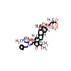 CC(C)C1=C2[C@H]3CC[C@@H]4[C@@]5(C)CC[C@@H](OC(=O)CC(C)(C)C(=O)O)C(C)(C)[C@@H]5CC[C@@]4(C)[C@]3(C)CC[C@@]2([C@@H](O)CN(Cc2ccccc2)C(=O)CN(C)C)CC1=O